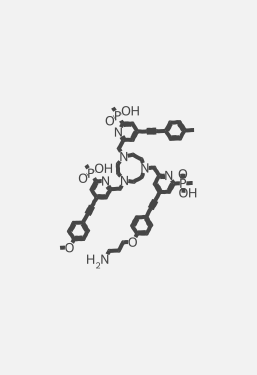 COc1ccc(C#Cc2cc(CN3CCN(Cc4cc(C#Cc5ccc(C)cc5)cc(P(C)(=O)O)n4)CCN(Cc4cc(C#Cc5ccc(OCCCN)cc5)cc(P(C)(=O)O)n4)CC3)nc(P(C)(=O)O)c2)cc1